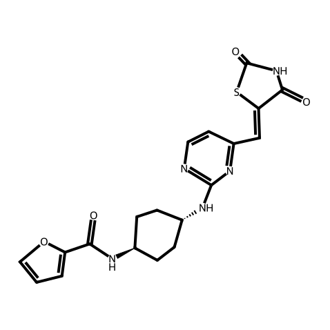 O=C1NC(=O)/C(=C/c2ccnc(N[C@H]3CC[C@H](NC(=O)c4ccco4)CC3)n2)S1